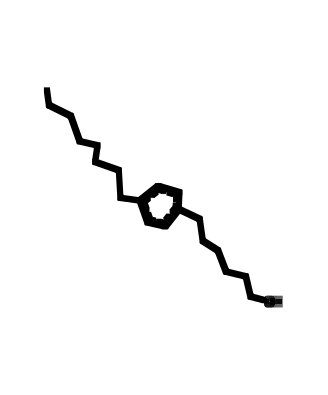 CCCCCCCCc1ccc(CCCCCCO)cc1